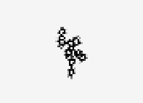 C1CCC(C2CCC(N(C3CCCC4C5CCCCC5CC43)C3CCCC4C3CC3C5CCCCC5CC(C5CCCC6CC(C7CCCCC7)CC65)C34)CC2)CC1